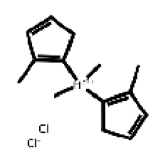 CC1=[C]([Hf+2]([CH3])([CH3])[C]2=C(C)C=CC2)CC=C1.[Cl-].[Cl-]